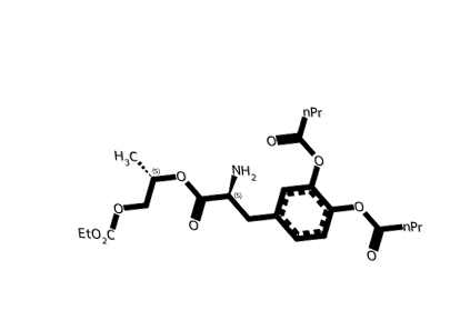 CCCC(=O)Oc1ccc(C[C@H](N)C(=O)O[C@@H](C)COC(=O)OCC)cc1OC(=O)CCC